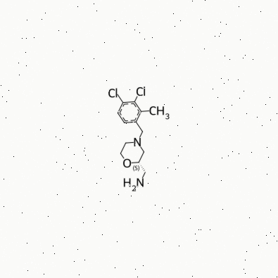 Cc1c(CN2CCO[C@@H](CN)C2)ccc(Cl)c1Cl